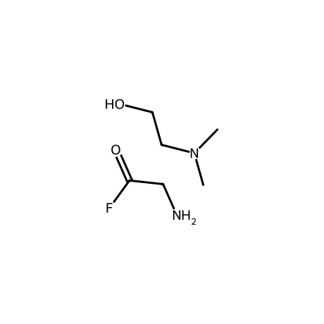 CN(C)CCO.NCC(=O)F